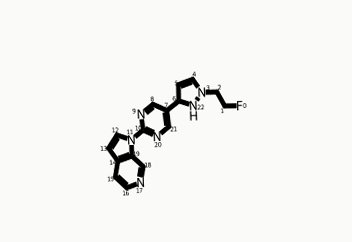 FCCN1C=CC(c2cnc(-n3ccc4ccncc43)nc2)N1